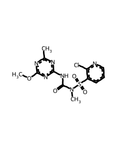 COc1nc(C)nc(NC(=O)N(C)S(=O)(=O)c2cccnc2Cl)n1